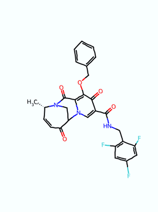 C[C@H]1C=CC(=O)C2CN1C(=O)c1c(OCc3ccccc3)c(=O)c(C(=O)NCc3c(F)cc(F)cc3F)cn12